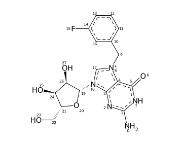 Nc1nc2c(c(=O)[nH]1)[n+](Cc1cccc(F)c1)cn2[C@@H]1O[C@H](CO)[C@@H](O)[C@H]1O